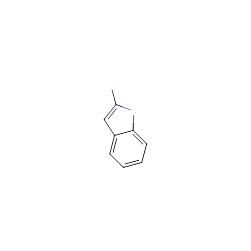 CCC[CH]c1cc2ccccc2[nH]1